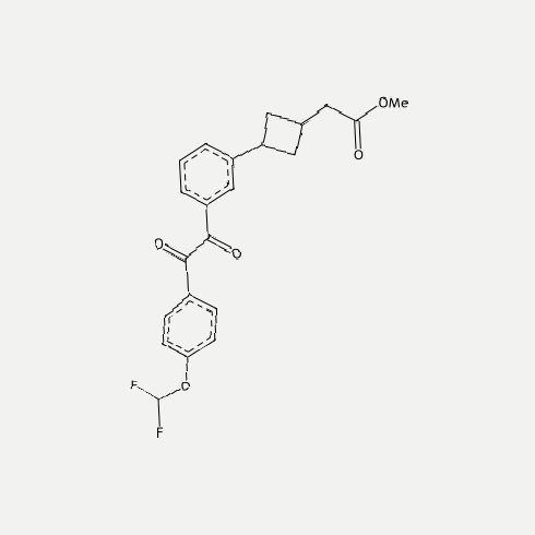 COC(=O)CC1CC(c2cccc(C(=O)C(=O)c3ccc(OC(F)F)cc3)c2)C1